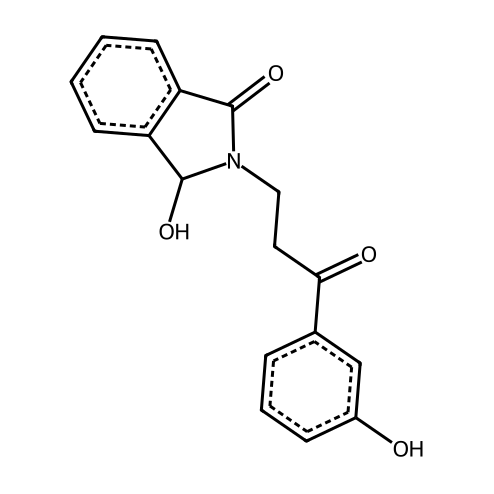 O=C(CCN1C(=O)c2ccccc2C1O)c1cccc(O)c1